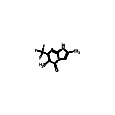 Bc1c(C(F)(F)F)nc2[nH]c(C)cn2c1=O